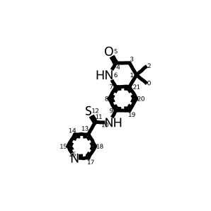 CC1(C)CC(=O)Nc2cc(NC(=S)c3ccncc3)ccc21